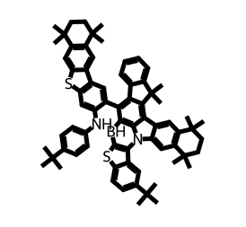 CC(C)(C)c1ccc(Nc2cc3sc4cc5c(cc4c3cc2-c2c3c(c4c6cc7c(cc6n6c4c2Bc2sc4ccc(C(C)(C)C)cc4c2-6)C(C)(C)CCC7(C)C)C(C)(C)c2ccccc2-3)C(C)(C)CCC5(C)C)cc1